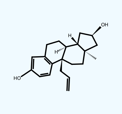 C=CC[C@]12CC[C@]3(C)C[C@H](O)C[C@H]3[C@@H]1CCc1cc(O)ccc12